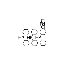 C1CCC(PC2CCCCC2)CC1.C1CCC(PC2CCCCC2)CC1.C1CCC(PC2CCCCC2)CC1.[Cl][Pd][Cl]